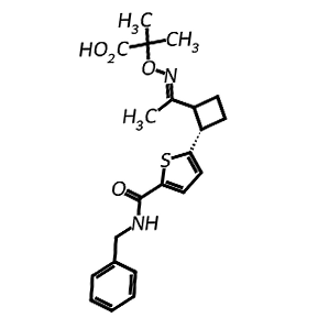 C/C(=N\OC(C)(C)C(=O)O)C1CC[C@@H]1c1ccc(C(=O)NCc2ccccc2)s1